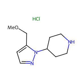 COCc1ccnn1C1CCNCC1.Cl